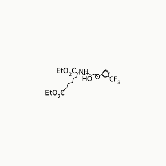 CCOC(=O)CCCCCCC(NCCC(O)COc1cccc(C(F)(F)F)c1)C(=O)OCC